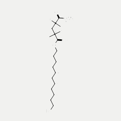 CCC(C)(CC(C)(C)C(=O)OCCCCCCCCCCCBr)C(=O)OC